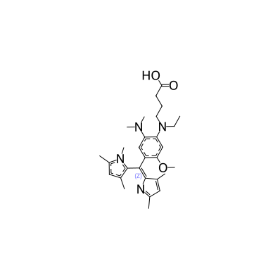 CCN(CCCC(=O)O)c1cc(OC)c(/C(=C2/N=C(C)C=C2C)c2c(C)cc(C)n2C)cc1N(C)C